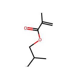 [CH2]C(C)COC(=O)C(=C)C